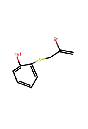 C=C(Br)CSc1ccccc1O